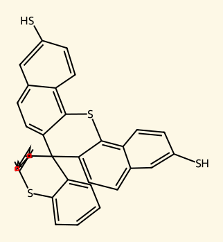 Sc1ccc2c3c(ccc2c1)C1(c2ccccc2Sc2ccccc21)c1ccc2cc(S)ccc2c1S3